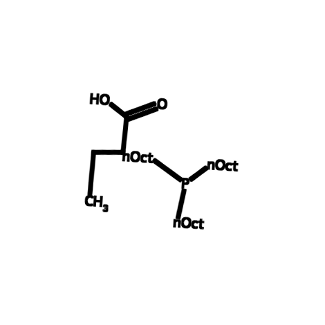 CCCC(=O)O.CCCCCCCCP(CCCCCCCC)CCCCCCCC